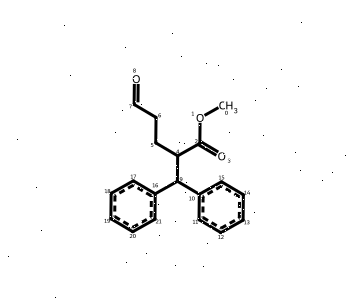 COC(=O)C(CCC=O)C(c1ccccc1)c1ccccc1